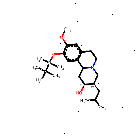 COc1cc2c(cc1O[Si](C)(C)C(C)(C)C)C1C[C@H](O)[C@H](CC(C)C)CN1CC2